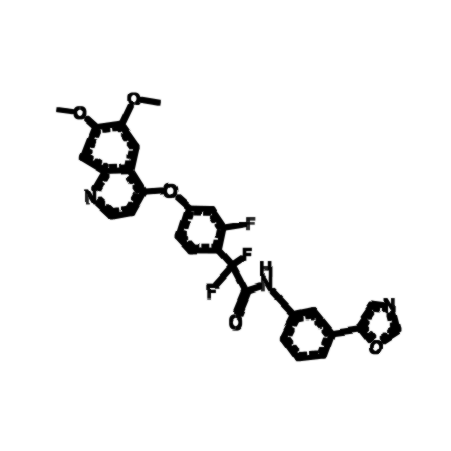 COc1cc2nccc(Oc3ccc(C(F)(F)C(=O)Nc4cccc(-c5cnco5)c4)c(F)c3)c2cc1OC